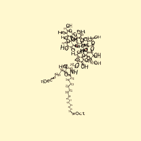 CCCCCCCC/C=C\CCCCCCCCCCCCCC(=O)N[C@@H](CO[C@@H]1OC(CO)[C@@H](O[C@@H]2OC(CO)[C@H](O)[C@H](O[C@H]3OC(CO)[C@H](O)[C@H](O[C@@H]4OC(CO)[C@@H](O[C@@H]5OC(CO)[C@H](O)[C@H](O)C5O)[C@H](O[C@H]5OC(C)[C@@H](O)C(O)[C@@H]5O)C4NC(C)=O)C3O)C2O)[C@H](O)C1O)[C@H](O)/C=C/CCCCCCCCCCCCC